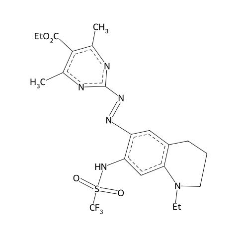 CCOC(=O)c1c(C)nc(N=Nc2cc3c(cc2NS(=O)(=O)C(F)(F)F)N(CC)CCC3)nc1C